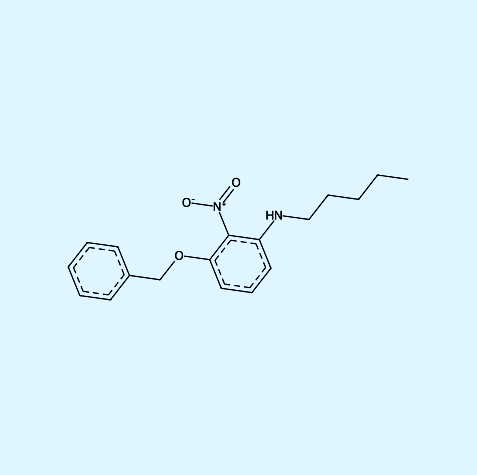 CCCCCNc1cccc(OCc2ccccc2)c1[N+](=O)[O-]